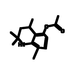 CC(=O)Oc1ccc(C)c2c1C(C)CC(C)(C)N2